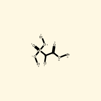 CCOP(=O)(OCC)C(Cl)C(=O)OC(C)C